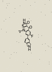 O=c1[nH]sc2c1c(=O)c1cc(F)c(-c3ccc4c(c3)CNC4)cc1n2C1CC1